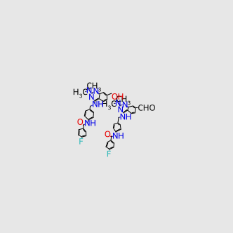 CN(C)c1nc(NCc2ccc(NC(=O)c3ccc(F)cc3)cc2)c2ccc(C=O)cc2n1.CN(C)c1nc(NCc2ccc(NC(=O)c3ccc(F)cc3)cc2)c2ccc(CO)cc2n1